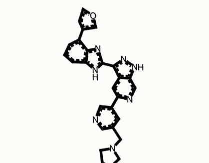 c1cc(-c2ccoc2)c2nc(-c3n[nH]c4cnc(-c5cncc(CN6CCCC6)c5)cc34)[nH]c2c1